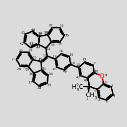 CC1(C)c2ccccc2Oc2ccc(-c3ccc(C(=C4c5ccccc5-c5ccccc54)C4c5ccccc5-c5ccccc54)cc3)cc21